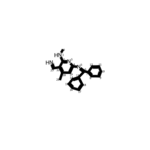 CNc1nc(N=C(c2ccccc2)c2ccccc2)cc(C)c1C=N